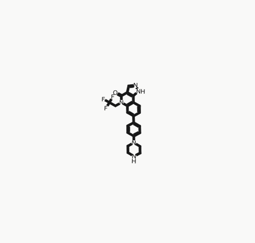 O=c1c2cn[nH]c2c2ccc(-c3ccc(N4CCNCC4)cc3)cc2n1CC(F)(F)F